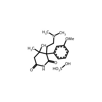 COc1cccc(C2(CCN(C)C)C(=O)NC(=O)CC2(C)C)c1.O=S(=O)(O)O